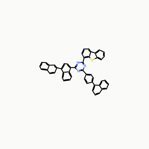 c1ccc2cc(-c3ccc(-c4nc(-c5ccc(-c6cccc7ccccc67)cc5)nc(-c5cccc6c5sc5ccccc56)n4)c4ccccc34)ccc2c1